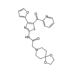 O=C(CN1CCC2(CC1)OCCO2)Nc1nc(-c2ccco2)c(C(=O)c2ccccn2)s1